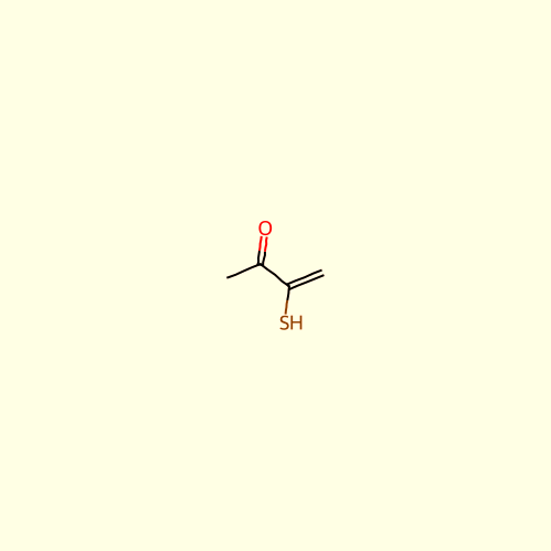 C=C(S)C(C)=O